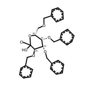 OC1(Cl)O[C@H](COCc2ccccc2)[C@H](OCc2ccccc2)[C@H](OCc2ccccc2)[C@H]1OCc1ccccc1